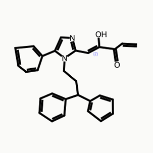 C=CC(=O)/C(O)=C/c1ncc(-c2ccccc2)n1CCC(c1ccccc1)c1ccccc1